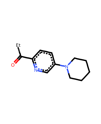 CCC(=O)c1ccc(N2CCCCC2)cn1